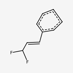 FC(F)C=Cc1ccccc1